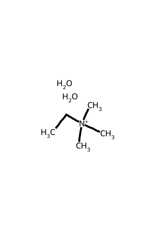 CC[N+](C)(C)C.O.O